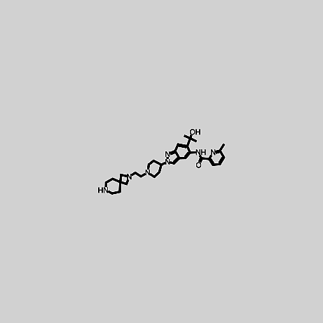 Cc1cccc(C(=O)Nc2cc3cn(C4CCN(CCN5CC6(CCNCC6)C5)CC4)nc3cc2C(C)(C)O)n1